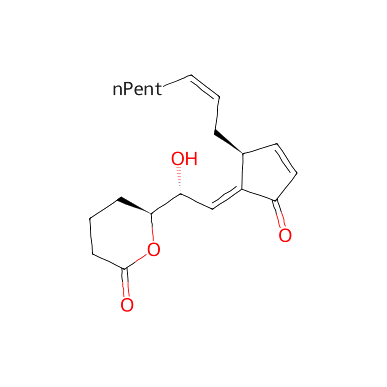 CCCCC/C=C\C[C@H]1C=CC(=O)/C1=C/[C@@H](O)[C@@H]1CCCC(=O)O1